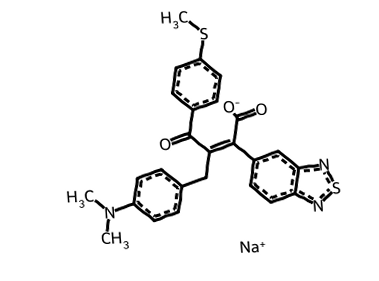 CSc1ccc(C(=O)C(Cc2ccc(N(C)C)cc2)=C(C(=O)[O-])c2ccc3nsnc3c2)cc1.[Na+]